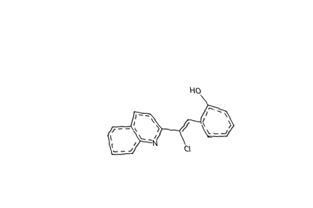 Oc1ccccc1/C=C(\Cl)c1ccc2ccccc2n1